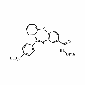 CCOC(=O)c1ccc(C2=Nc3cc(C(=O)NOC)ccc3Sc3ccccc32)cc1